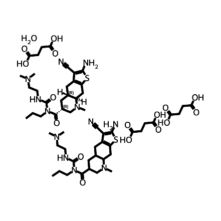 CCCN(C(=O)NCCN(C)C)C(=O)C1CC2Cc3c(sc(N)c3C#N)CC2N(C)C1.CCCN(C(=O)NCCN(C)C)C(=O)[C@@H]1C[C@@H]2Cc3c(sc(N)c3C#N)C[C@H]2N(C)C1.O.O=C(O)CCC(=O)O.O=C(O)CCC(=O)O.O=C(O)CCC(=O)O